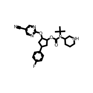 CC(C)(C)N(C(=O)OC1CC(c2ccc(F)cc2)CC1Oc1ncc(C#N)cn1)C1CCCNC1